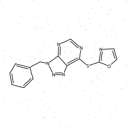 c1ccc(Cn2nnc3c(Sc4ncco4)ncnc32)cc1